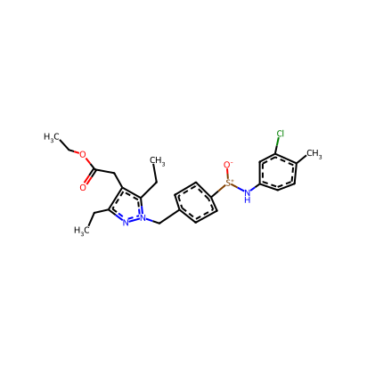 CCOC(=O)Cc1c(CC)nn(Cc2ccc([S+]([O-])Nc3ccc(C)c(Cl)c3)cc2)c1CC